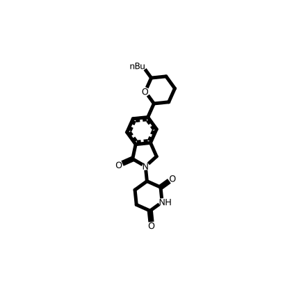 CCCCC1CCCC(c2ccc3c(c2)CN(C2CCC(=O)NC2=O)C3=O)O1